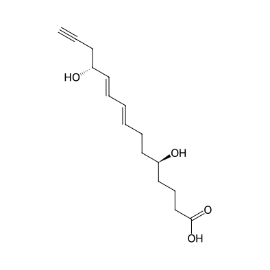 C#CC[C@@H](O)/C=C/C=C/CC[C@@H](O)CCCC(=O)O